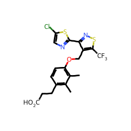 Cc1c(CCC(=O)O)ccc(OCc2c(-c3ncc(Cl)s3)nsc2C(F)(F)F)c1C